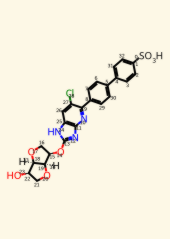 O=S(=O)(O)c1ccc(-c2ccc(-c3nc4nc(O[C@@H]5CO[C@H]6[C@@H]5OC[C@H]6O)[nH]c4cc3Cl)cc2)cc1